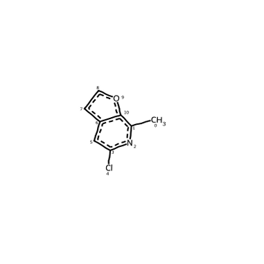 Cc1nc(Cl)cc2ccoc12